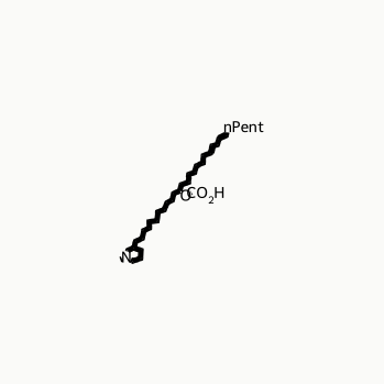 CCCCCC=CCC=CCCCCCCCC(CCCCCCCCCCCC1CCCN(C)C1)OC(=O)O